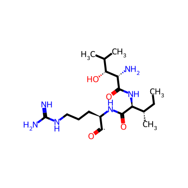 CC[C@H](C)[C@H](NC(=O)[C@@H](N)[C@H](O)C(C)C)C(=O)N[C@@H]([C]=O)CCCNC(=N)N